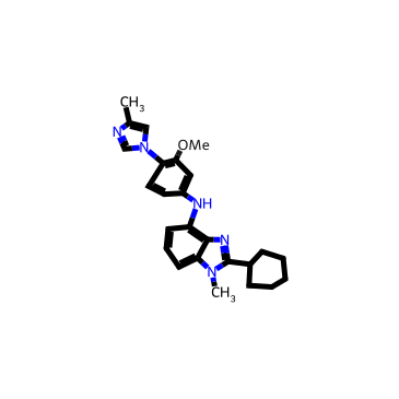 COc1cc(Nc2cccc3c2nc(C2CCCCC2)n3C)ccc1-n1cnc(C)c1